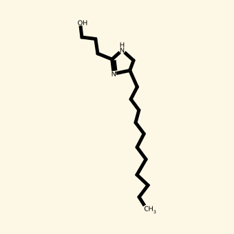 CCCCCCCCCCCC1CNC(CCCO)=N1